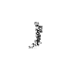 CC(C)(C)CC(=O)NCC(=O)C1C(=O)c2ccc(S(=O)(=O)c3ccc4c(c3)C(=O)C(C(=O)CNC(=O)CC(C)(C)C)C4=O)cc2C1=O